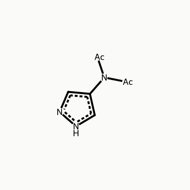 CC(=O)N(C(C)=O)c1cn[nH]c1